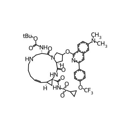 CN(C)c1ccc2c(OC3C[C@H]4C(=O)N[C@]5(C(=O)NS(=O)(=O)C6CC6)C[C@H]5/C=C\CCCNC[C@H](NC(=O)OC(C)(C)C)C(=O)N4C3)nc(-c3ccc(OC(F)(F)F)cc3)cc2c1